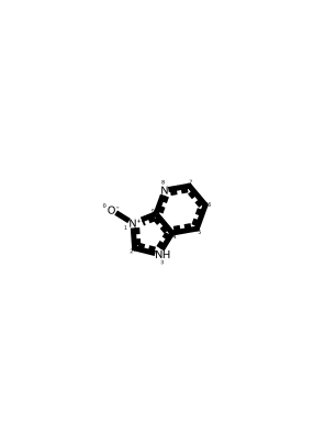 [O-][n+]1c[nH]c2cccnc21